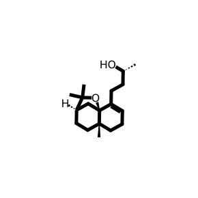 C[C@@H](O)CCC1=CCC[C@]2(C)CC[C@@H]3C[C@]12OC3(C)C